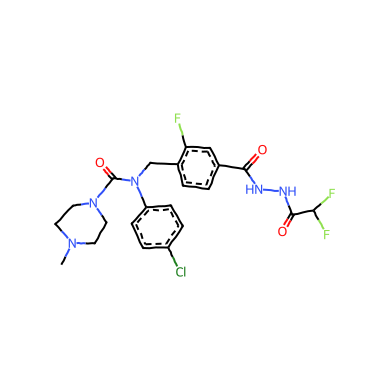 CN1CCN(C(=O)N(Cc2ccc(C(=O)NNC(=O)C(F)F)cc2F)c2ccc(Cl)cc2)CC1